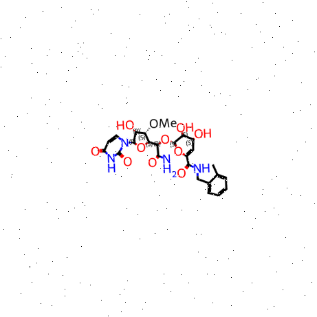 CO[C@H]1[C@@H](O)[C@H](n2ccc(=O)[nH]c2=O)O[C@@H]1[C@@H](O[C@H]1OC(C(=O)NCc2ccccc2C)=C[C@H](O)[C@@H]1O)C(N)=O